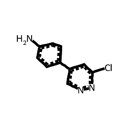 Nc1ccc(-c2cnnc(Cl)c2)cc1